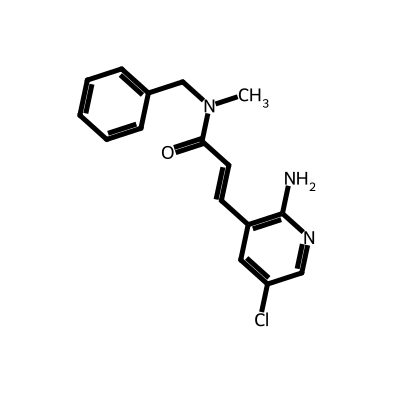 CN(Cc1ccccc1)C(=O)/C=C/c1cc(Cl)cnc1N